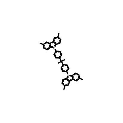 Cc1ccc2c(c1)c1cc(C)ccc1n2-c1ccc(C(C)(C)c2ccc(-n3c4ccc(C)cc4c4cc(C)ccc43)cc2)cc1